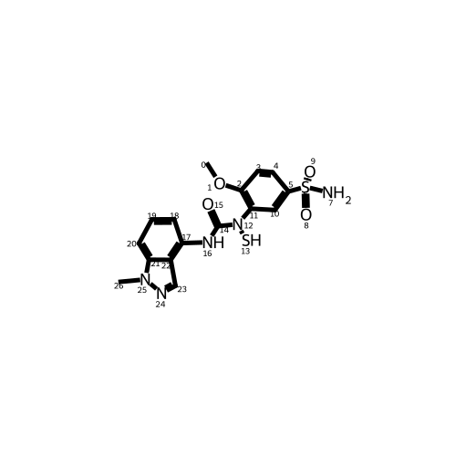 COc1ccc(S(N)(=O)=O)cc1N(S)C(=O)Nc1cccc2c1cnn2C